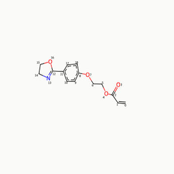 C=CC(=O)OCCOc1ccc(C2=NCCO2)cc1